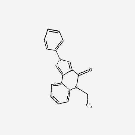 O=c1c2cn(-c3ccccc3)nc2c2ccccc2n1CC(F)(F)F